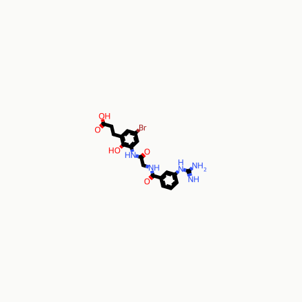 N=C(N)Nc1cccc(C(=O)NCC(=O)Nc2cc(Br)cc(CCC(=O)O)c2O)c1